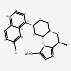 COc1cnc([C@H](C)C[C@H]2CC[C@@H](c3ccnc4ccc(F)cc43)CC2)s1